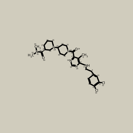 Cc1c(NCCc2ccc(Cl)c(Cl)c2)ncnc1C(=O)N1CCC(N2CCC[C@H](C(=O)N(C)C)C2)CC1